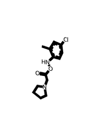 Cc1cc(Cl)ccc1NOC(=O)CN1CCCC1